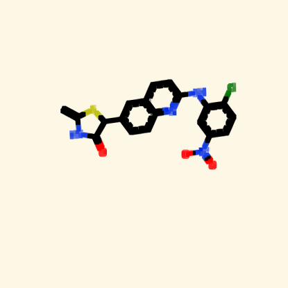 C=C1NC(=O)C(c2ccc3nc(Nc4cc([N+](=O)[O-])ccc4Cl)ccc3c2)S1